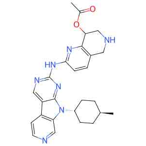 CC(=O)OC1CNCc2ccc(Nc3ncc4c5ccncc5n([C@H]5CC[C@H](C)CC5)c4n3)nc21